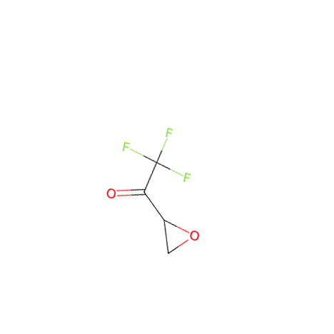 O=C(C1CO1)C(F)(F)F